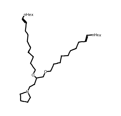 CCCCCC/C=C/CCCCCCCCOCC(CCN1CCCC1)OCCCCCCCC/C=C/CCCCCC